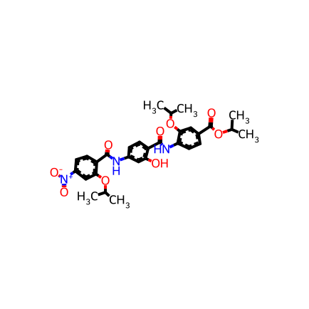 CC(C)OC(=O)c1ccc(NC(=O)c2ccc(NC(=O)c3ccc([N+](=O)[O-])cc3OC(C)C)cc2O)c(OC(C)C)c1